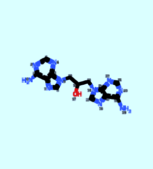 Nc1ncnc2c1ncn2CC(O)Cn1cnc2c(N)ncnc21